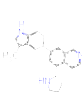 Cc1c[nH]c2c1=CC(c1cc([C@@H]3CCCN3)c3ccncc3c1)CC=2